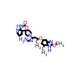 C=C(/C=C(\N=C/N)N1CCC2(CC1)OC(=O)Nc1ncccc12)Oc1cc(C)c2[nH]c(OC)nc2c1